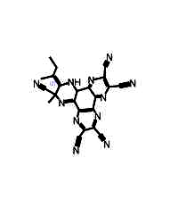 CC/C(C)=C1\NC2C(=NC1(C)C#N)c1nc(C#N)c(C#N)nc1-c1nc(C#N)c(C#N)nc12